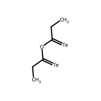 CCC(=[Te])OC(=[Te])CC